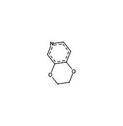 c1cc2c(cn1)OCCO2